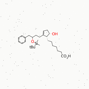 CC(C)(C)[Si](C)(C)OC(CCC1=CC[C@H](O)[C@@H]1CCCCCCC(=O)O)Cc1ccccc1